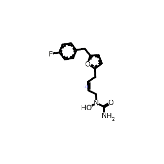 NC(=O)N(O)C/C=C\Cc1ccc(Cc2ccc(F)cc2)o1